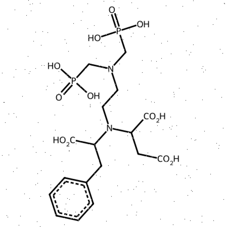 O=C(O)CC(C(=O)O)N(CCN(CP(=O)(O)O)CP(=O)(O)O)C(Cc1ccccc1)C(=O)O